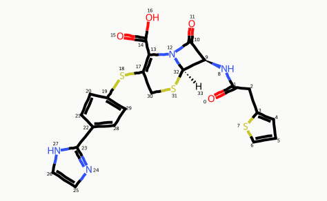 O=C(Cc1cccs1)N[C@@H]1C(=O)N2C(C(=O)O)=C(Sc3ccc(-c4ncc[nH]4)cc3)CS[C@H]12